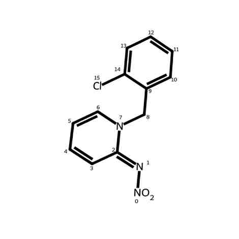 O=[N+]([O-])N=c1ccccn1Cc1ccccc1Cl